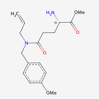 C=CCN(Cc1ccc(OC)cc1)C(=O)CC[C@H](N)C(=O)OC